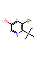 CC(C)(C)c1ncc(O)cc1O